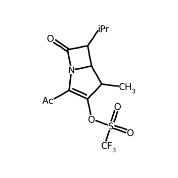 CC(=O)C1=C(OS(=O)(=O)C(F)(F)F)C(C)C2C(C(C)C)C(=O)N12